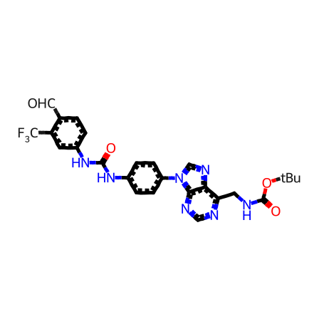 CC(C)(C)OC(=O)NCc1ncnc2c1ncn2-c1ccc(NC(=O)Nc2ccc(C=O)c(C(F)(F)F)c2)cc1